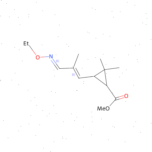 CCO/N=C/C(C)=C/C1C(C(=O)OC)C1(C)C